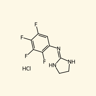 Cl.Fc1cc(N=C2NCCN2)c(F)c(F)c1F